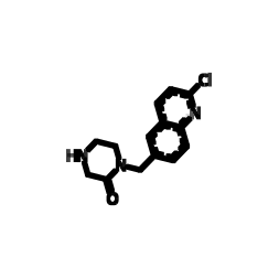 O=C1CNCCN1Cc1ccc2nc(Cl)ccc2c1